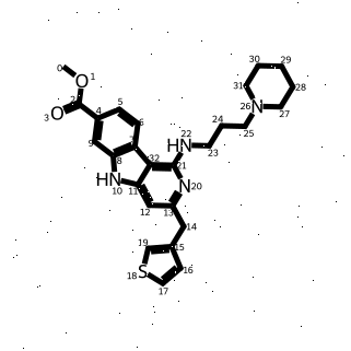 COC(=O)c1ccc2c(c1)[nH]c1cc(Cc3ccsc3)nc(NCCCN3CCCCC3)c12